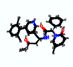 COC(=O)C[C@H](NC(=O)[C@H](c1ccccc1)n1cc(C)ccc1=O)c1cncc(-c2c(C)cccc2C)c1